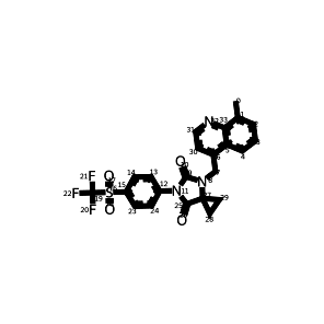 Cc1cccc2c(CN3C(=O)N(c4ccc(S(=O)(=O)C(F)(F)F)cc4)C(=O)C34CC4)ccnc12